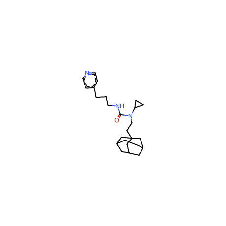 O=C(NCCCc1ccncc1)N(CCC12CC3CC(CC(C3)C1)C2)C1CC1